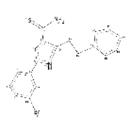 NC(=S)c1cc(-c2cccc(Br)c2)[nH]c1CCc1ccccc1